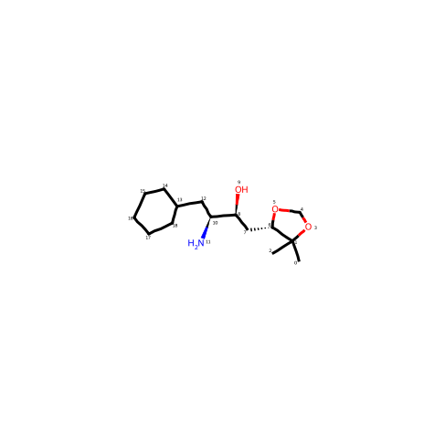 CC1(C)OCO[C@H]1C[C@H](O)[C@@H](N)CC1CCCCC1